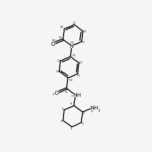 NC1CCCCC1NC(=O)c1ccc(-n2ccccc2=O)cc1